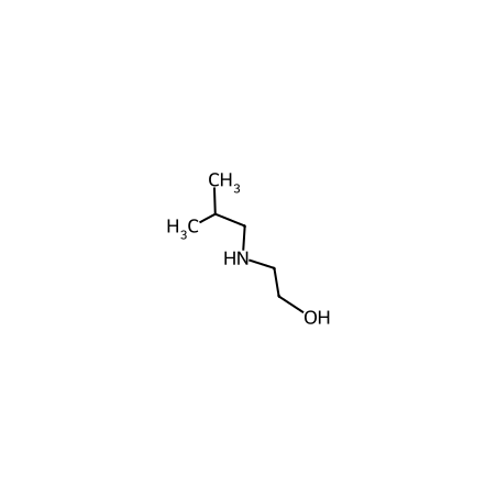 CC(C)CNCCO